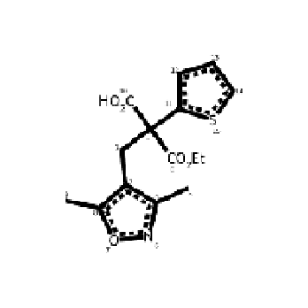 CCOC(=O)C(Cc1c(C)noc1C)(C(=O)O)c1cccs1